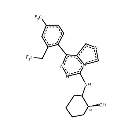 O[C@H]1CCCCC1Nc1nnc(-c2ccc(C(F)(F)F)cc2CC(F)(F)F)c2cncn12